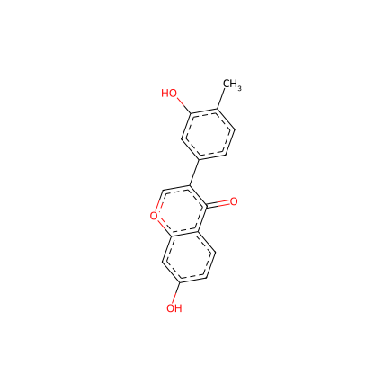 Cc1ccc(-c2coc3cc(O)ccc3c2=O)cc1O